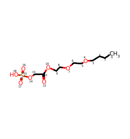 CCCCOCCOCCOC(=O)COS(=O)(=O)O